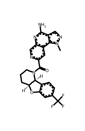 Cn1ncc2c(N)nc3cnc(C(=O)N4CCC[C@@H]5Oc6cc(C(F)(F)F)ccc6[C@@H]54)cc3c21